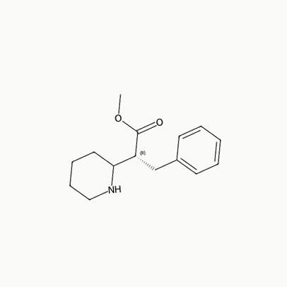 COC(=O)[C@H](Cc1ccccc1)C1CCCCN1